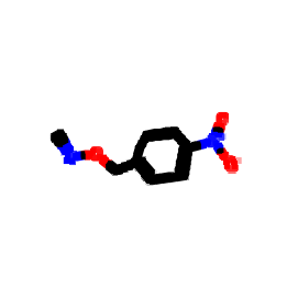 C=NOCc1ccc([N+](=O)[O-])cc1